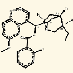 CC[C@H]1CN2CC[C@H]1C[C@@H]2[C@@H](OC(=O)c1ccccc1Cl)c1ccnc2ccc(OC)cc12